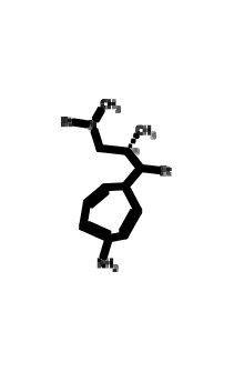 CCC(C1C=CC=C(N)C=C1)[C@@H](C)CN(C)CC